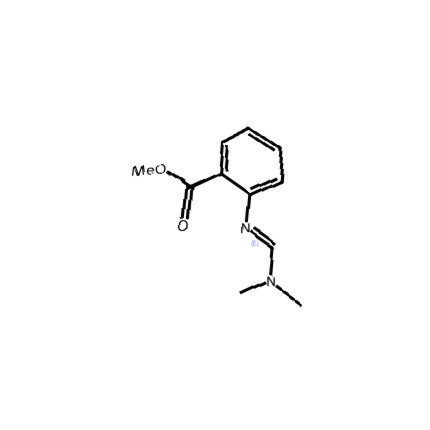 COC(=O)c1ccccc1/N=C/N(C)C